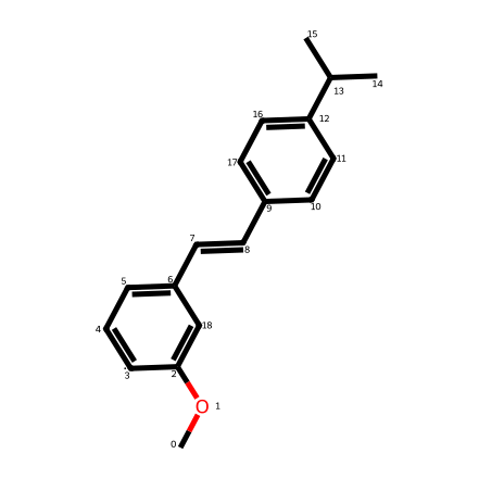 COc1[c]ccc(/C=C/c2ccc(C(C)C)cc2)c1